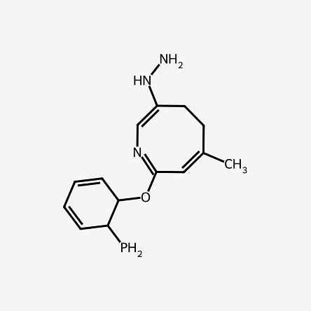 C/C1=C/C(OC2C=CC=CC2P)=N\C=C(\NN)CC1